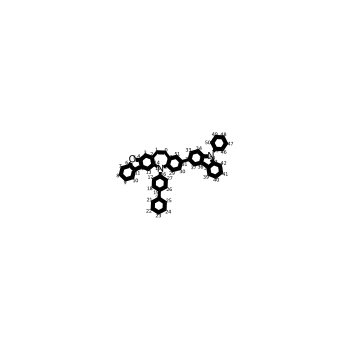 C1=Cc2cc3oc4ccccc4c3cc2N(c2ccc(-c3ccccc3)cc2)c2ccc(-c3ccc4c(c3)c3ccccc3n4-c3ccccc3)cc21